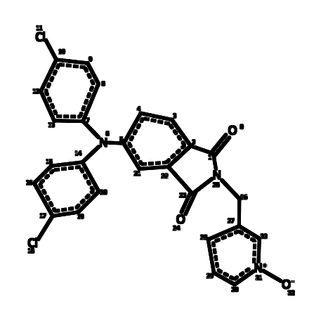 O=C1c2ccc(N(c3ccc(Cl)cc3)c3ccc(Cl)cc3)cc2C(=O)N1Cc1ccc[n+]([O-])c1